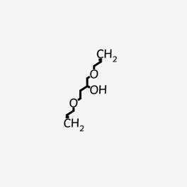 C=CCOCCC(O)COCC=C